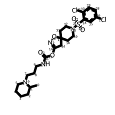 CC1CCCCN1CCCNC(=O)OC1=NOC2(CCN(S(=O)(=O)c3cc(Cl)ccc3Cl)CC2)C1